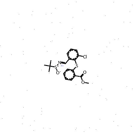 COC(=O)c1ccccc1Sc1c(Cl)cccc1/C=N/[S+]([O-])C(C)(C)C